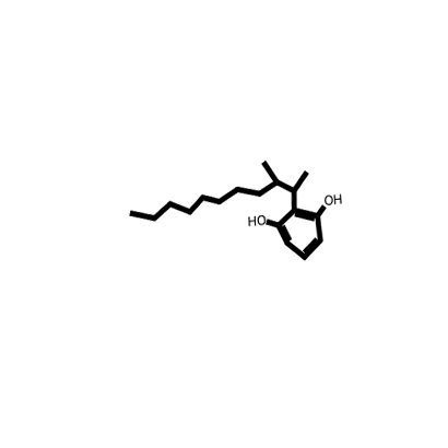 CCCCCCCCC(C)C(C)c1c(O)cccc1O